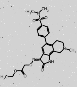 CCOC(=O)CON=C1C(=O)Nc2c1cc(-c1ccc(S(=O)(=O)N(C)C)cc1)c1c2CN(C)CC1